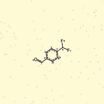 O=[C]c1ccc(C(F)F)nc1